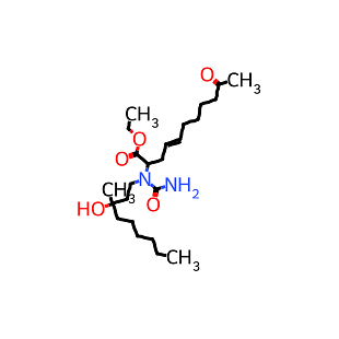 CCCCCCC(C)(O)CCN(C(N)=O)C(CC=CCCCCC(C)=O)C(=O)OCC